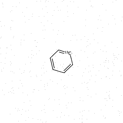 c1cc[13c]cc1